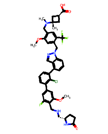 COc1cc(Cn2ncc3c(-c4cccc(-c5cc(F)c(CNC[C@@H]6CCC(=O)N6)c(OC)c5)c4Cl)cccc32)c(C(F)(F)F)cc1CN(C)[C@]1(C)C[C@@H](C(=O)O)C1